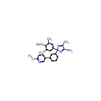 CCOc1ccc(-c2cccc(C3(c4cc(C)c(OC)c(C)c4)N=C(C)C(N)=N3)c2)cn1